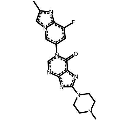 Cc1cn2cc(-n3cnc4sc(N5CCN(C)CC5)nc4c3=O)cc(F)c2n1